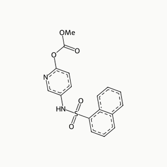 COC(=O)Oc1ccc(NS(=O)(=O)c2cccc3ccccc23)cn1